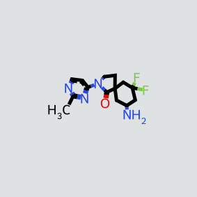 Cc1nccc(N2CCC3(CC(N)CC(F)(F)C3)C2=O)n1